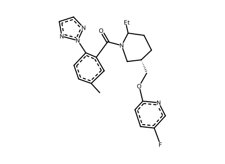 CCC1CC[C@H](COc2ccc(F)cn2)CN1C(=O)c1cc(C)ccc1-n1nccn1